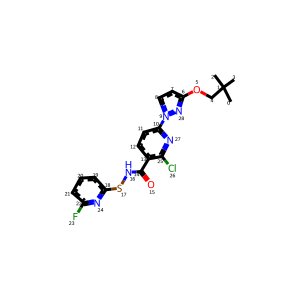 CC(C)(C)COc1ccn(-c2ccc(C(=O)NSc3cccc(F)n3)c(Cl)n2)n1